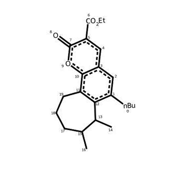 CCCCc1cc2cc(C(=O)OCC)c(=O)oc2c2c1C(C)C(C)CCC2